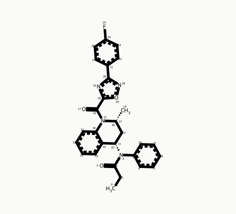 CCC(=O)N(c1ccccc1)[C@H]1C[C@@H](C)N(C(=O)c2nc(-c3ccc(F)cc3)no2)c2ccccc21